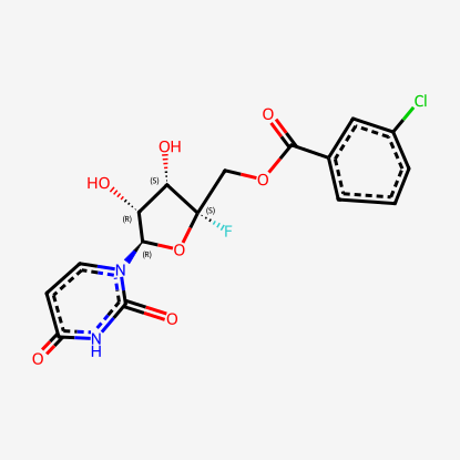 O=C(OC[C@@]1(F)O[C@@H](n2ccc(=O)[nH]c2=O)[C@H](O)[C@@H]1O)c1cccc(Cl)c1